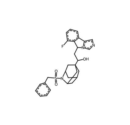 O=S(=O)(Cc1ccccc1)N1C2CC3CC1CC(C(O)CC1c4c(F)cccc4-c4cncn41)(C3)C2